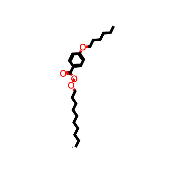 [CH2]CCCCCCCCCOOC(=O)c1ccc(OCCCCCC)cc1